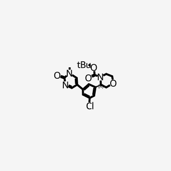 Cn1cc(-c2cc(Cl)cc([C@@H]3COCCN3C(=O)OC(C)(C)C)c2)cnc1=O